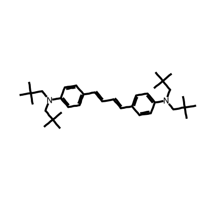 CC(C)(C)CN(CC(C)(C)C)c1ccc(/C=C/C=C/c2ccc(N(CC(C)(C)C)CC(C)(C)C)cc2)cc1